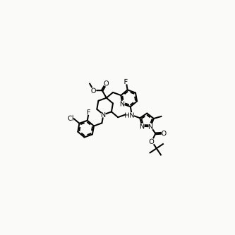 CCC1CC(Cc2nc(Nc3cc(C)n(C(=O)OC(C)(C)C)n3)ccc2F)(C(=O)OC)CCN1Cc1cccc(Cl)c1F